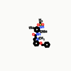 COc1c(NC(=O)c2cc3cccc(OCc4ccccc4)c3n2C)cc(C(C)(C)C)cc1NS(C)(=O)=O